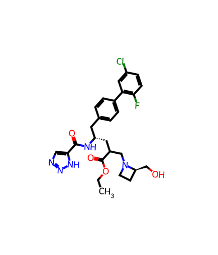 CCOC(=O)C(C[C@@H](Cc1ccc(-c2cc(Cl)ccc2F)cc1)NC(=O)c1cnn[nH]1)CN1CC[C@@H]1CO